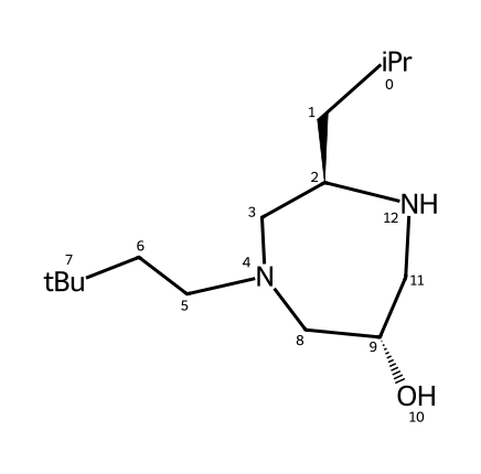 CC(C)C[C@@H]1CN(CCC(C)(C)C)C[C@@H](O)CN1